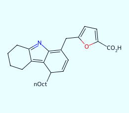 CCCCCCCCC1C=CC(Cc2ccc(C(=O)O)o2)=C2N=C3CCCCC3=C21